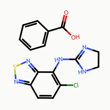 Clc1ccc2nsnc2c1NC1=NCCN1.O=C(O)c1ccccc1